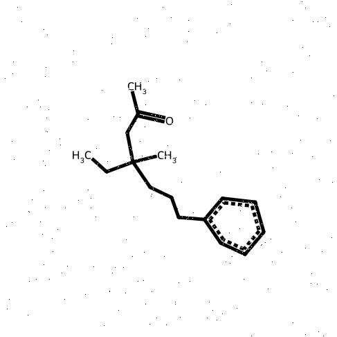 CCC(C)(CCCc1ccccc1)CC(C)=O